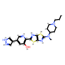 CCCN1CCC(N(C)c2nc3sc(-c4ncc(-c5cn[nH]c5)cc4O)nc3s2)CC1